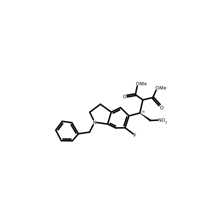 COC(=O)C(C(=O)OC)[C@@H](C[N+](=O)[O-])c1cc2c(cc1F)N(Cc1ccccc1)CC2